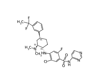 CN(C)[C@H]1C[C@@H](c2cccc(C(C)(F)F)c2)CC[C@@H]1Nc1cc(F)c(S(=O)(=O)Nc2ccncn2)cc1Cl